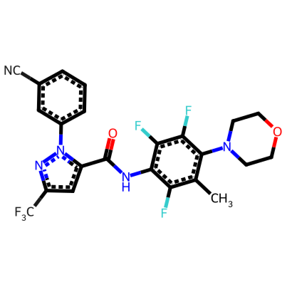 Cc1c(F)c(NC(=O)c2cc(C(F)(F)F)nn2-c2cccc(C#N)c2)c(F)c(F)c1N1CCOCC1